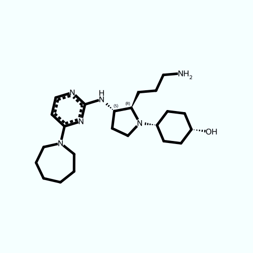 NCCC[C@@H]1[C@@H](Nc2nccc(N3CCCCCC3)n2)CCN1[C@H]1CC[C@@H](O)CC1